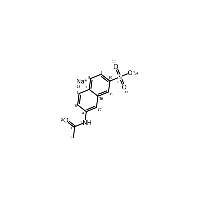 CC(=O)Nc1ccc2ccc(S(=O)(=O)[O-])cc2c1.[Na+]